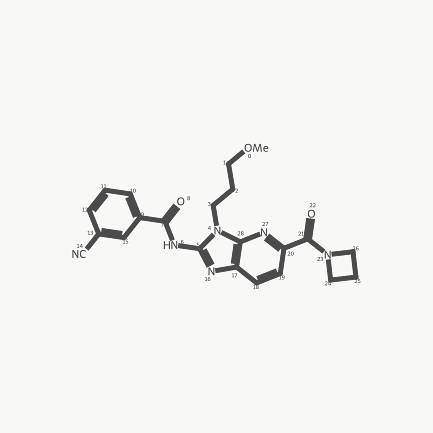 COCCCn1c(NC(=O)c2cccc(C#N)c2)nc2ccc(C(=O)N3CCC3)nc21